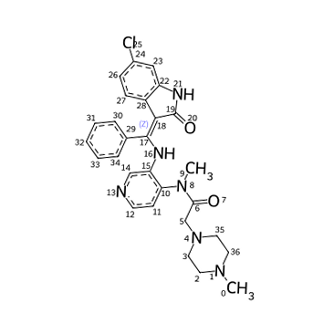 CN1CCN(CC(=O)N(C)c2ccncc2N/C(=C2\C(=O)Nc3cc(Cl)ccc32)c2ccccc2)CC1